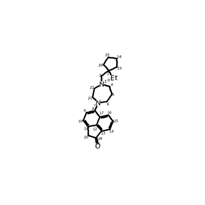 CCC1(CN2CCCN(c3ccc4c5c(cccc35)C(=O)C4)CC2)CCCC1